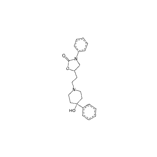 O=C1OC(CCN2CCC(O)(c3ccccc3)CC2)CN1c1ccccc1